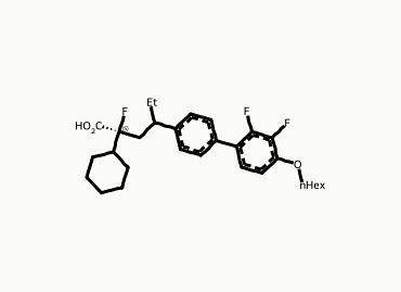 CCCCCCOc1ccc(-c2ccc(C(CC)C[C@@](F)(C(=O)O)C3CCCCC3)cc2)c(F)c1F